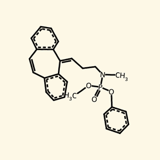 COP(=O)(Oc1ccccc1)N(C)CCC=C1c2ccccc2C=Cc2ccccc21